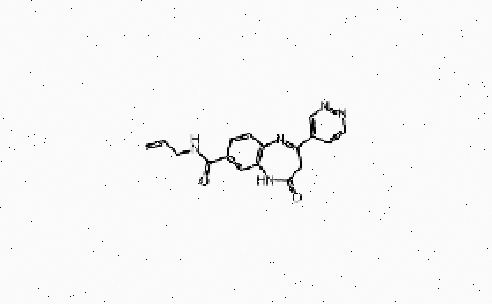 C=CCNC(=O)c1ccc2c(c1)NC(=O)CC(c1ccnnc1)=N2